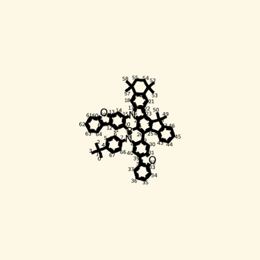 CC(C)(C)c1ccc(N2B3c4cc5c(cc4-n4c6cc7c(cc6c6c8c(c(c3c64)-c3cc4oc6ccccc6c4cc32)-c2ccccc2C8(C)C)C(C)(C)CCC7(C)C)oc2ccccc25)cc1